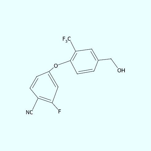 N#Cc1ccc(Oc2ccc(CO)cc2C(F)(F)F)cc1F